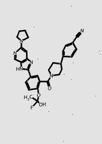 CC(O)(F)Oc1ccc(-c2nc3cc(N4CCCC4)ncc3[nH]2)cc1C(=O)N1CCC(c2ccc(C#N)cc2)CC1